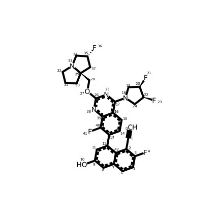 C#Cc1c(F)ccc2cc(O)cc(-c3ccc4c(N5C[C@@H](F)[C@@H](F)C5)nc(OC[C@@]56CCCN5C[C@H](F)C6)nc4c3F)c12